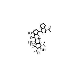 CC(=O)C1=C(O)C(C(C)C)[C@@]2(C)C[C@@]3(C)Cc4c(-c5ccc(C(C)=O)c6ccccc56)ccc(O)c4C(=O)C3=C(O)[C@@]2(O)C1=O